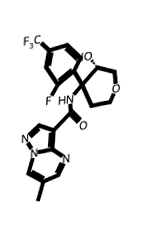 Cc1cnc2c(C(=O)NC3(c4ccc(C(F)(F)F)cc4F)CCOC[C@H]3O)cnn2c1